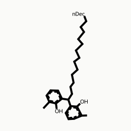 CCCCCCCCCCCCCCCCCCCCCCCC(c1cccc(C)c1O)c1cccc(C)c1O